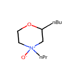 CCCCC1C[N+]([O-])(CCC)CCO1